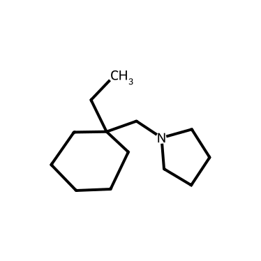 CCC1(CN2CCCC2)CCCCC1